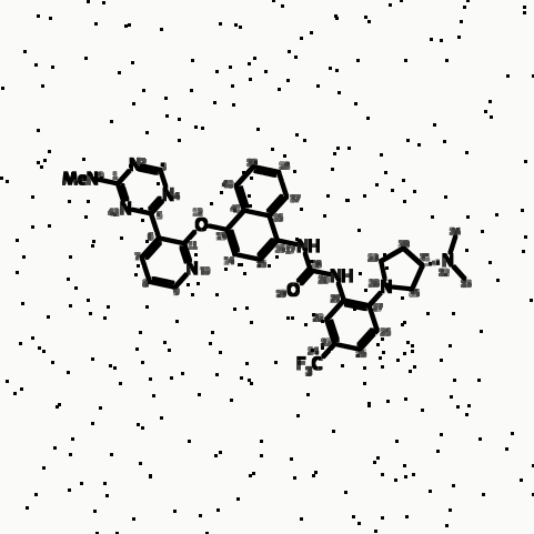 CNc1ncnc(-c2cccnc2Oc2ccc(NC(=O)Nc3cc(C(F)(F)F)ccc3N3CC[C@H](N(C)C)C3)c3ccccc23)n1